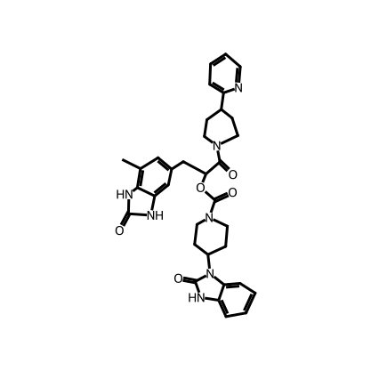 Cc1cc(CC(OC(=O)N2CCC(n3c(=O)[nH]c4ccccc43)CC2)C(=O)N2CCC(c3ccccn3)CC2)cc2[nH]c(=O)[nH]c12